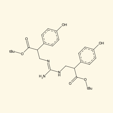 CC(C)(C)OC(=O)C(CN=C(N)NCC(C(=O)OC(C)(C)C)c1ccc(O)cc1)c1ccc(O)cc1